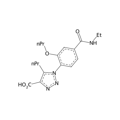 CCCOc1cc(C(=O)NCC)ccc1-n1nnc(C(=O)O)c1CCC